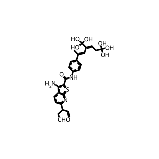 C=CC(CC=O)c1ccc2c(N)c(C(=O)Nc3ccc(/C(C)=C/C(=C\CC(O)(O)O)C(O)(O)O)cc3)sc2n1